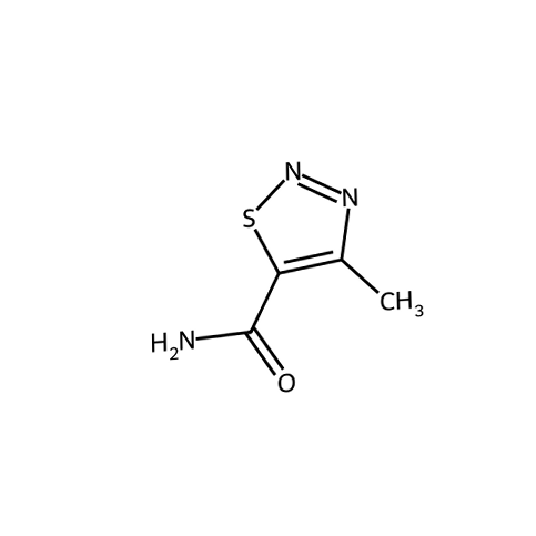 Cc1nnsc1C(N)=O